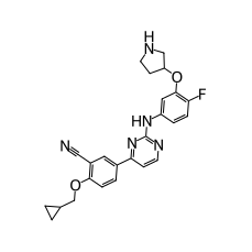 N#Cc1cc(-c2ccnc(Nc3ccc(F)c(OC4CCNC4)c3)n2)ccc1OCC1CC1